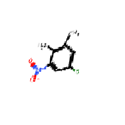 Cc1cc(Cl)cc([N+](=O)[O-])c1C